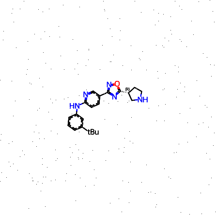 CC(C)(C)c1cccc(Nc2ccc(-c3noc([C@@H]4CCNC4)n3)cn2)c1